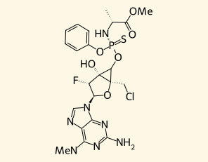 CNc1nc(N)nc2c1ncn2[C@@H]1O[C@]2(CCl)C(O[P@@](=S)(N[C@H](C)C(=O)OC)Oc3ccccc3)[C@]2(O)[C@H]1F